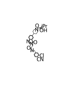 CC(C)[C@@H](O)C(=O)N1CCC(c2ccc3ncn(CC(=O)N(C)Cc4ccc(C#N)c(Cl)c4)c(=O)c3c2)CC1